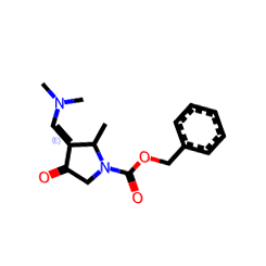 CC1/C(=C\N(C)C)C(=O)CN1C(=O)OCc1ccccc1